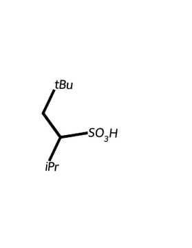 CC(C)C(CC(C)(C)C)S(=O)(=O)O